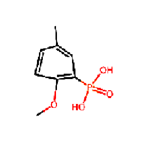 COc1ccc(C)cc1P(=O)(O)O